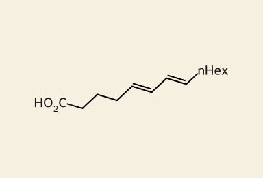 CCCCCCC=CC=CCCCC(=O)O